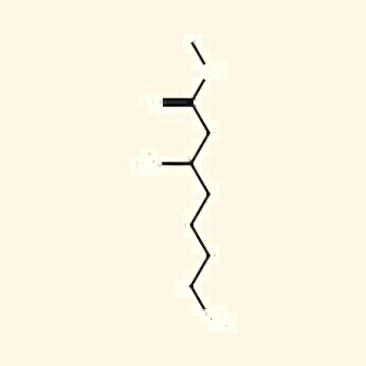 COC(=O)CC(N)CCCCN